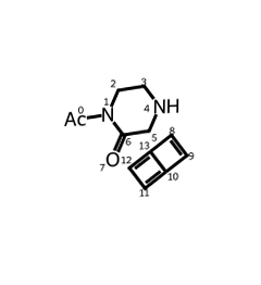 CC(=O)N1CCNCC1=O.c1cc2ccc1-2